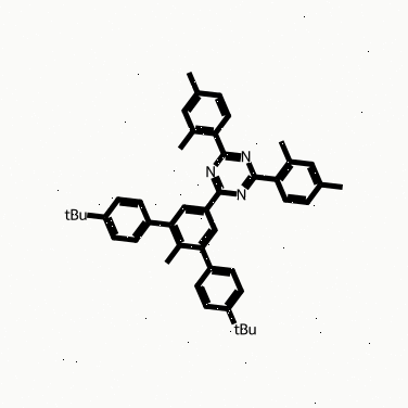 Cc1ccc(-c2nc(-c3cc(-c4ccc(C(C)(C)C)cc4)c(C)c(-c4ccc(C(C)(C)C)cc4)c3)nc(-c3ccc(C)cc3C)n2)c(C)c1